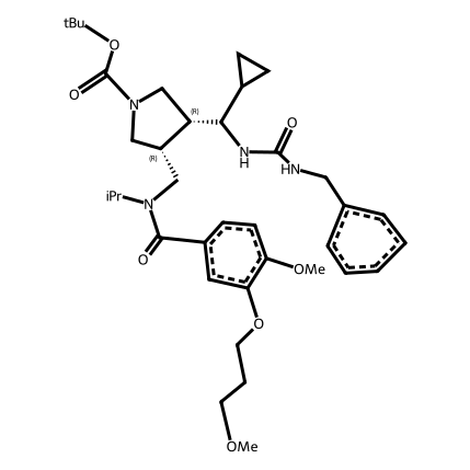 COCCCOc1cc(C(=O)N(C[C@@H]2CN(C(=O)OC(C)(C)C)C[C@@H]2C(NC(=O)NCc2ccccc2)C2CC2)C(C)C)ccc1OC